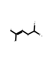 CC(C)=CC[C](F)F